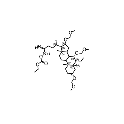 CCOC(=O)ONC(=N)CC[C@@H](C)[C@H]1[C@@H](OCOC)CC2C3C(CC[C@@]21C)[C@@]1(C)CC[C@@H](OCOC)C[C@H]1[C@@H](CC)[C@H]3OCOC